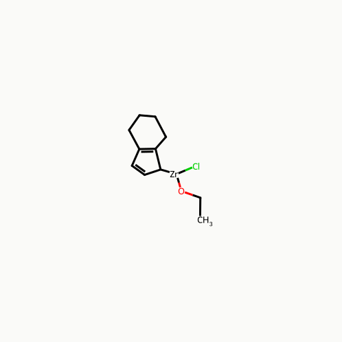 CC[O][Zr]([Cl])[CH]1C=CC2=C1CCCC2